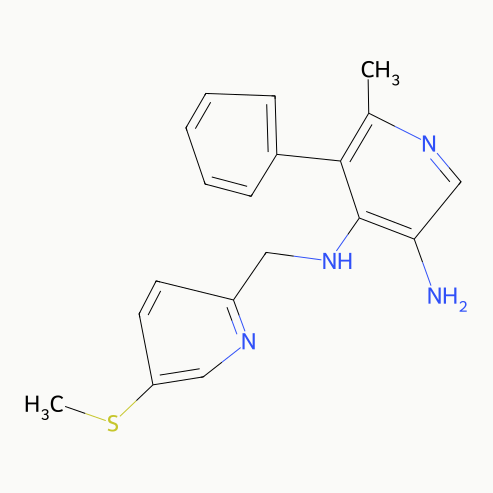 CSc1ccc(CNc2c(N)cnc(C)c2-c2ccccc2)nc1